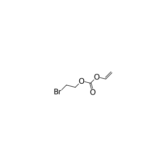 C=COC(=O)OCCBr